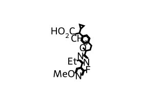 CCc1nc(C2CCc3ccc(C(C4CC4)C(C)C(=O)O)cc3O2)cnc1-c1cc(OC)ncc1F